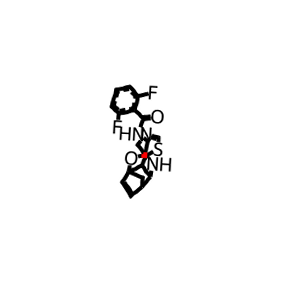 O=C(NCC1NC2C3C=CC(C3)(O1)C2C1CN=CS1)c1c(F)cccc1F